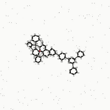 c1ccc(-c2nc(-c3ccccc3)nc(-c3ccc(-c4ccc5c(c4)nc(-c4ccccc4)c4cc6c(cc45)Oc4ccccc4C64c5ccccc5-c5ccccc54)cc3)n2)cc1